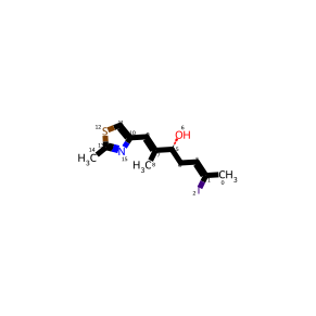 C/C(I)=C/C[C@@H](O)/C(C)=C/c1csc(C)n1